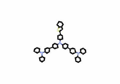 c1ccc(N(c2ccccc2)c2ccc(-c3ccc(N(c4ccc(-c5ccc(N(c6ccccc6)c6ccccc6)cc5)cc4)c4ccc(-c5cc6ccccc6s5)cc4)cc3)cc2)cc1